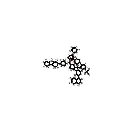 CC(C)(C)c1ccc2c(c1)C1(c3ccc(-c4cccc5ccccc45)cc3-c3ccc(N(c4ccc(-c5ccccc5)cc4)c4ccc(-c5ccc6c(c5)oc5ccccc56)cc4)cc31)c1cc(C(C)(C)C)ccc1-2